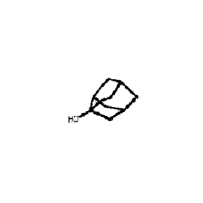 OC12CC3CC(CC1C3)C2